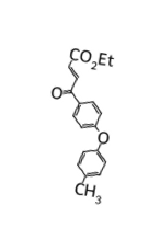 CCOC(=O)/C=C/C(=O)c1ccc(Oc2ccc(C)cc2)cc1